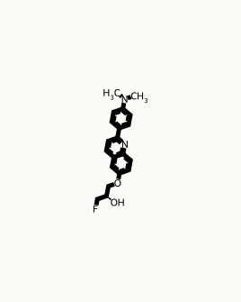 CN(C)c1ccc(-c2ccc3cc(OC[C@H](O)CF)ccc3n2)cc1